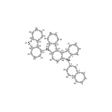 c1ccc2cc(-n3c4ccccc4c4c5c6ccccc6n(-c6cccc7sc8ccccc8c67)c5ccc43)ccc2c1